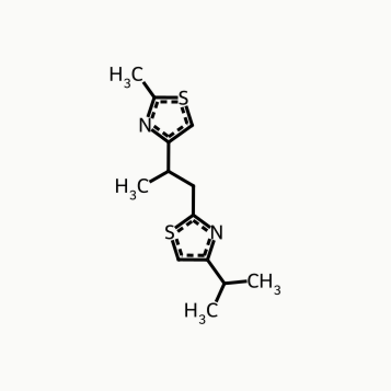 Cc1nc(C(C)Cc2nc(C(C)C)cs2)cs1